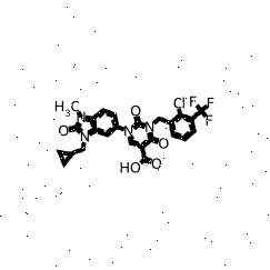 Cn1c(=O)n(CC2CC2)c2cc(-n3cc(C(=O)O)c(=O)n(Cc4cccc(C(F)(F)F)c4Cl)c3=O)ccc21